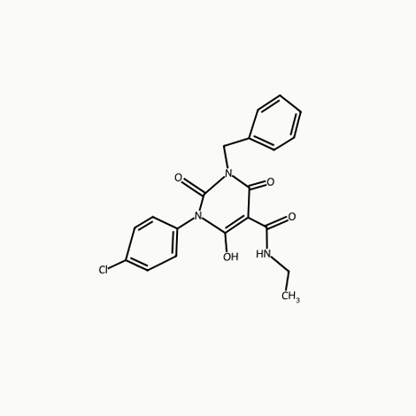 CCNC(=O)c1c(O)n(-c2ccc(Cl)cc2)c(=O)n(Cc2ccccc2)c1=O